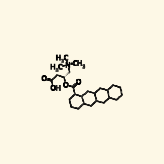 C[N+](C)(C)C[C@@H](CC(=O)O)OC(=O)C1CCCC2CC3CC4CCCCC4CC3CC21